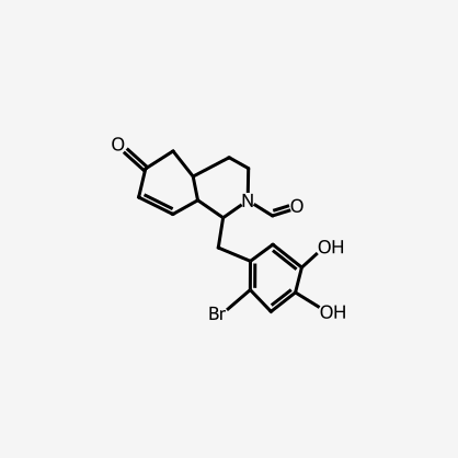 O=CN1CCC2CC(=O)C=CC2C1Cc1cc(O)c(O)cc1Br